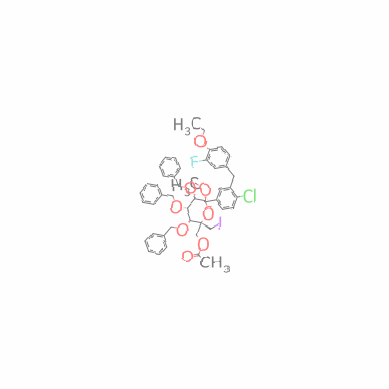 CCOc1ccc(Cc2cc([C@]3(OC)O[C@](CI)(COC(C)=O)[C@@H](OCc4ccccc4)[C@H](OCc4ccccc4)[C@H]3OCc3ccccc3)ccc2Cl)cc1F